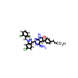 C[C@@]1(c2ccc(CCC(=O)O)cc2)C(=O)Nc2nc(-c3nn(Cc4c(F)cccc4F)c4cc(Cl)ccc34)nc(N)c21